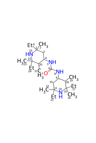 CCC1(C)CC(NC(=O)NC2CC(C)(CC)NC(C)(CC)C2C)C(C)C(C)(CC)N1